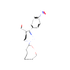 O=Cc1cn(C2CCCCO2)nc1-c1ccc(N=O)cc1